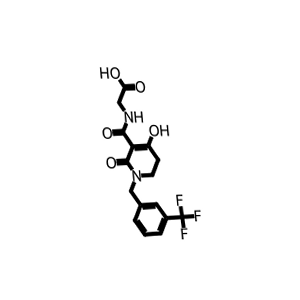 O=C(O)CNC(=O)C1=C(O)CCN(Cc2cccc(C(F)(F)F)c2)C1=O